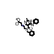 COC(=O)C/C=C/CN(Cc1ccccc1)C(=O)c1cnc(C)nc1Nc1ccccc1